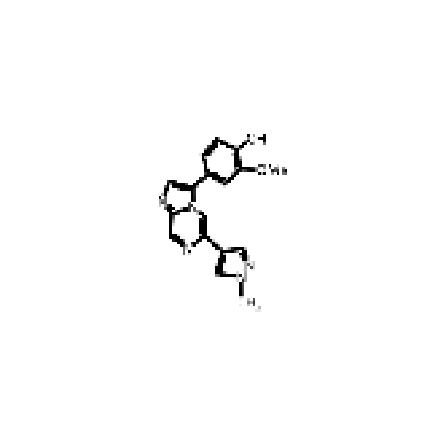 COc1cc(-c2cnc3cnc(-c4cnn(C)c4)cn23)ccc1O